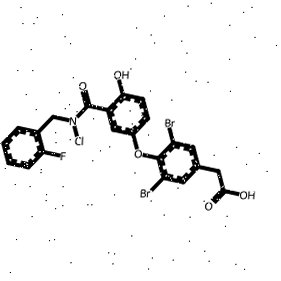 O=C(O)Cc1cc(Br)c(Oc2ccc(O)c(C(=O)N(Cl)Cc3ccccc3F)c2)c(Br)c1